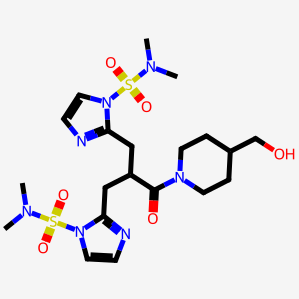 CN(C)S(=O)(=O)n1ccnc1CC(Cc1nccn1S(=O)(=O)N(C)C)C(=O)N1CCC(CO)CC1